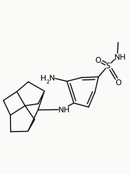 CNS(=O)(=O)c1ccc(NC2C3CC4CC5CC2CC45C3)c(N)c1